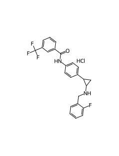 Cl.O=C(Nc1ccc(C2CC2NCc2ccccc2F)cc1)c1cccc(C(F)(F)F)c1